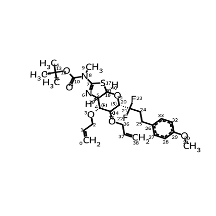 C=CCO[C@@H]1[C@H]2N=C(N(C)C(=O)OC(C)(C)C)S[C@H]2O[C@H](C(F)(F)CCc2ccc(OC)cc2)[C@H]1OCC=C